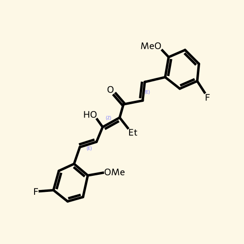 CC/C(C(=O)/C=C/c1cc(F)ccc1OC)=C(O)\C=C\c1cc(F)ccc1OC